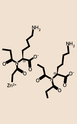 CCC(=O)N(C(=O)CC)[C@@H](CCCCN)C(=O)[O-].CCC(=O)N(C(=O)CC)[C@@H](CCCCN)C(=O)[O-].[Zn+2]